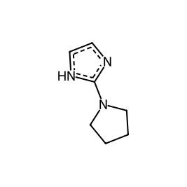 c1c[nH]c(N2CCCC2)n1